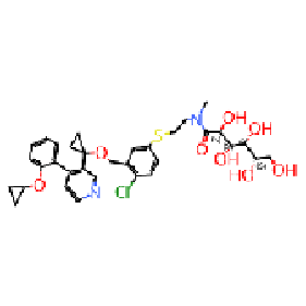 CN(CCSc1ccc(Cl)c(COC2(c3cnccc3-c3ccccc3OC3CC3)CC2)c1)C(=O)[C@@H](O)[C@@H](O)[C@H](O)[C@@H](O)CO